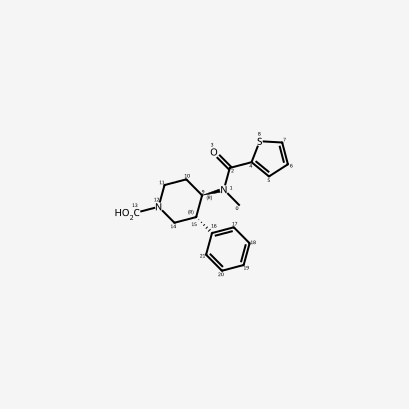 CN(C(=O)c1cccs1)[C@@H]1CCN(C(=O)O)C[C@H]1c1ccccc1